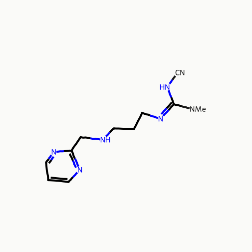 CNC(=NCCCNCc1ncccn1)NC#N